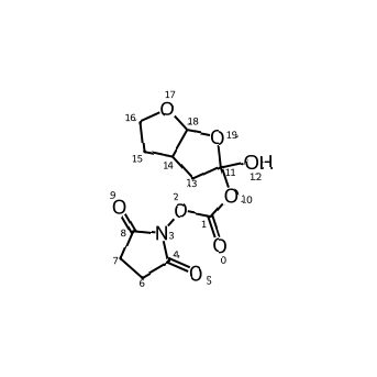 O=C(ON1C(=O)CCC1=O)OC1(O)CC2CCOC2O1